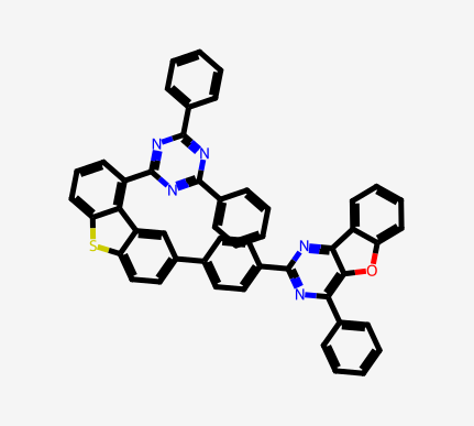 c1ccc(-c2nc(-c3ccccc3)nc(-c3cccc4sc5ccc(-c6ccc(-c7nc(-c8ccccc8)c8oc9ccccc9c8n7)cc6)cc5c34)n2)cc1